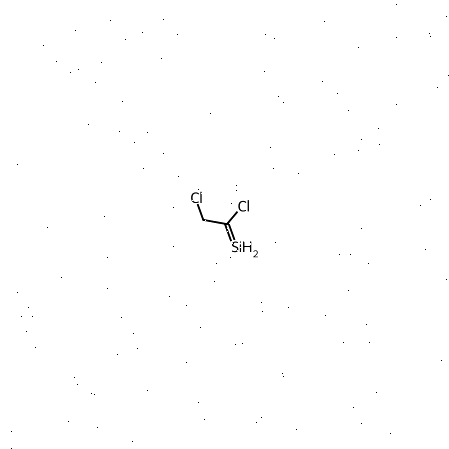 [SiH2]=C(Cl)CCl